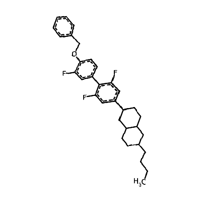 CCCCC1CCC2CC(c3cc(F)c(-c4ccc(OCc5ccccc5)c(F)c4)c(F)c3)CCC2C1